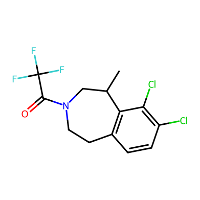 CC1CN(C(=O)C(F)(F)F)CCc2ccc(Cl)c(Cl)c21